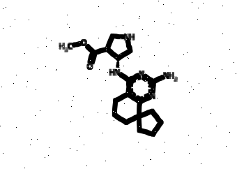 COC(=O)C1CNC[C@@H]1Nc1nc(N)nc2c1CCCC21CCCC1